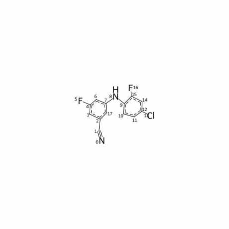 N#Cc1cc(F)cc(Nc2ccc(Cl)cc2F)c1